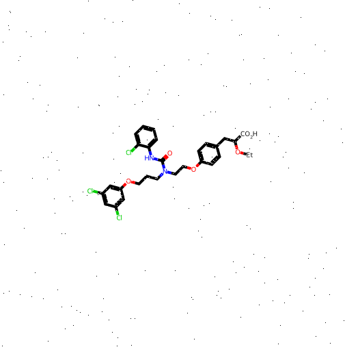 CCOC(Cc1ccc(OCCN(CCCOc2cc(Cl)cc(Cl)c2)C(=O)Nc2ccccc2Cl)cc1)C(=O)O